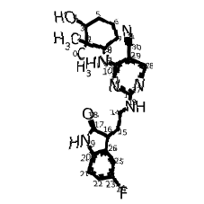 CC1(C)C(O)CCC[C@@H]1Nc1nc(NCCC2C(=O)Nc3ccc(F)cc32)ncc1C#N